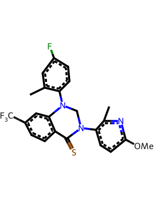 COc1ccc(N2CN(c3ccc(F)cc3C)c3cc(C(F)(F)F)ccc3C2=S)c(C)n1